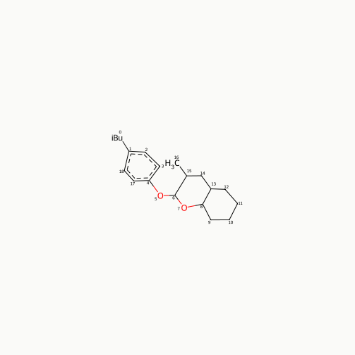 CCC(C)c1ccc(OC2OC3CCCCC3CC2C)cc1